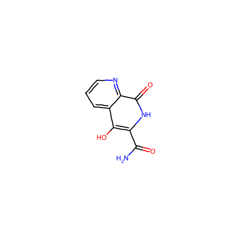 NC(=O)c1[nH]c(=O)c2ncccc2c1O